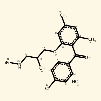 Cc1cc(C)c(C(=O)c2ccc(Cl)cc2)c(OCC(O)CNC(C)C)c1.Cl